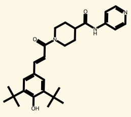 CC(C)(C)c1cc(C=CC(=O)N2CCC(C(=O)Nc3ccncc3)CC2)cc(C(C)(C)C)c1O